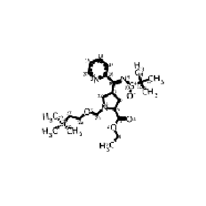 CCOC(=O)C1CC(C(=N[S+]([O-])C(C)(C)C)c2ccccn2)CN1COCC[Si](C)(C)C